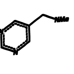 CNCc1cncnc1